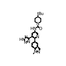 Cn1ncc2cc(-c3ncc(NC(=O)N4CCC(C(C)(C)C)CC4)cc3-c3nn[nH]n3)ccc21